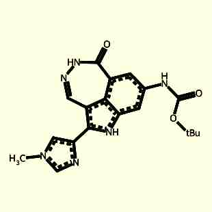 Cn1cnc(-c2[nH]c3cc(NC(=O)OC(C)(C)C)cc4c3c2C=NNC4=O)c1